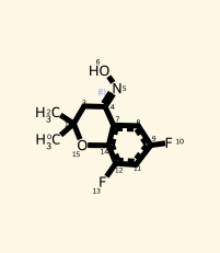 CC1(C)C/C(=N\O)c2cc(F)cc(F)c2O1